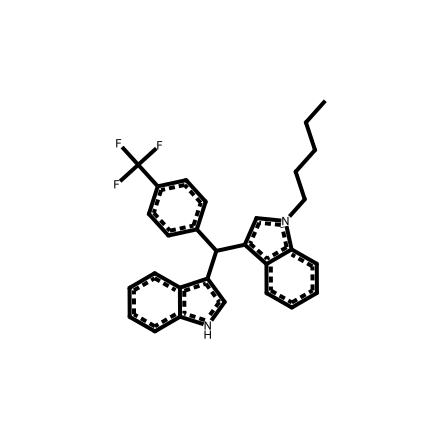 CCCCCn1cc(C(c2ccc(C(F)(F)F)cc2)c2c[nH]c3ccccc23)c2ccccc21